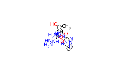 Cc1cc(O)cc(C)c1C[C@H](NC(=O)[C@H](N)CCNC(=N)N)C(=O)N[C@@H](Cc1c[nH]cn1)c1nc(CC23CC4CC(CC(C4)C2)C3)no1